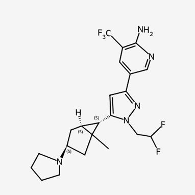 CC12C[C@@H](N3CCCC3)C[C@H]1[C@@H]2c1cc(-c2cnc(N)c(C(F)(F)F)c2)nn1CC(F)F